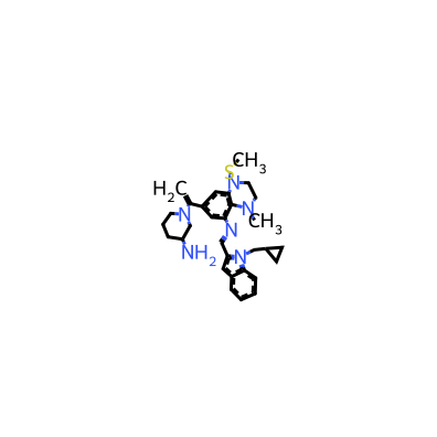 C=C(c1cc(/N=C/c2cc3ccccc3n2CC2CC2)c2c(c1)N(SC)CCN2C)N1CCCC(N)C1